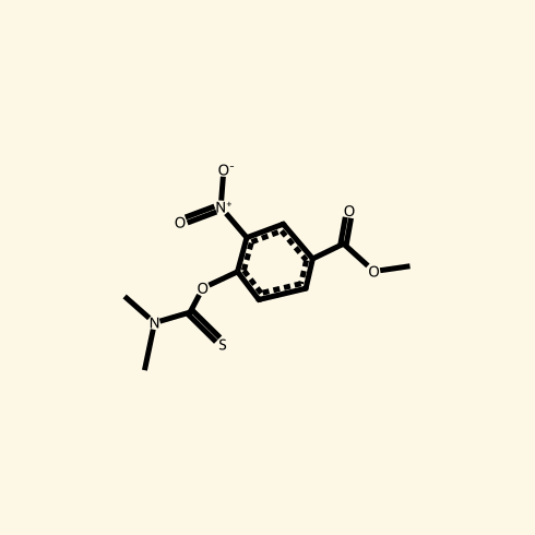 COC(=O)c1ccc(OC(=S)N(C)C)c([N+](=O)[O-])c1